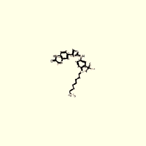 CCCCCCCCOc1ccc(Nc2nc(-c3ccc4c(c3)SCC(=O)N4)cs2)cc1C(F)(F)F